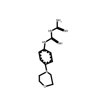 N=C(N)NC(=N)Nc1ccc(N2CCOCC2)cc1